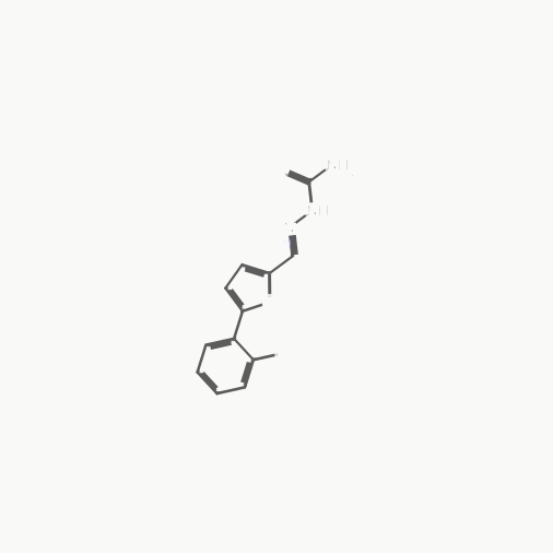 NC(=S)N/N=C/c1ccc(-c2ccccc2C(F)(F)F)o1